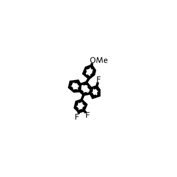 COc1ccc(-c2c3ccccc3c(-c3ccc(F)c(F)c3)c3cccc(F)c23)cc1